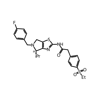 CCS(=O)(=O)c1ccc(CC(=O)Nc2nc3c(s2)CN(Cc2ccc(F)cc2)[C@@H]3C(C)C)cc1